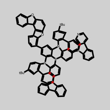 CC(C)(C)c1ccc(N2c3cc(-n4c5ccccc5c5ccccc54)ccc3B3c4ccc(-n5c6ccccc6c6ccncc65)cc4N(c4ccc(C(C)(C)C)cc4-c4ccccc4)c4cc(-c5cccc6c5oc5ccc7oc8ccccc8c7c56)cc2c43)c(-c2ccccc2)c1